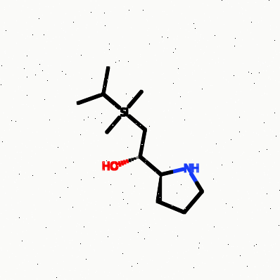 CC(C)[Si](C)(C)C[C@@H](O)[C@@H]1CCCN1